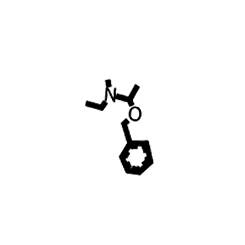 CCN(C)C(C)OCc1ccccc1